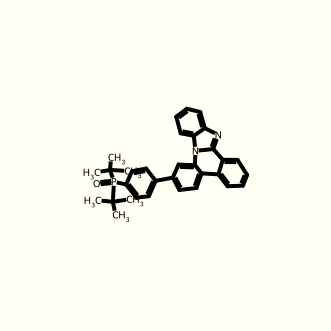 CC(C)(C)P(=O)(c1ccc(-c2ccc3c4ccccc4c4nc5ccccc5n4c3c2)cc1)C(C)(C)C